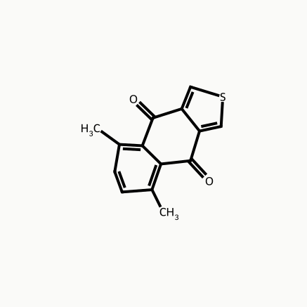 Cc1ccc(C)c2c1C(=O)c1cscc1C2=O